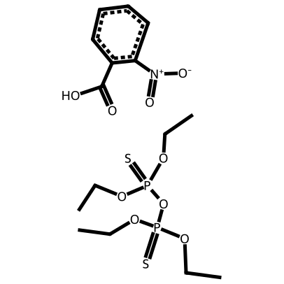 CCOP(=S)(OCC)OP(=S)(OCC)OCC.O=C(O)c1ccccc1[N+](=O)[O-]